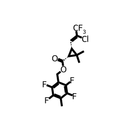 Cc1c(F)c(F)c(COC(=O)[C@@H]2[C@H](/C=C(\Cl)C(F)(F)F)C2(C)C)c(F)c1F